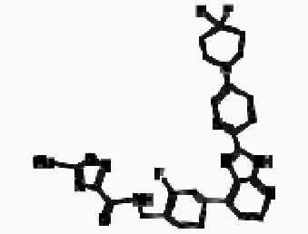 CC(C)(C)c1nc(C(=O)NCc2ccc(-c3ccnc4[nH]c(-c5ccc(N6CCC(F)(F)CC6)cn5)nc34)cc2F)no1